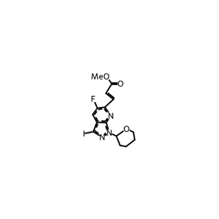 COC(=O)/C=C/c1nc2c(cc1F)c(I)nn2C1CCCCO1